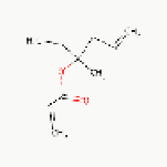 C=CCC(C)(CC)OC(=O)C=C